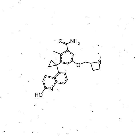 Cc1c(C(N)=O)cc(OCC2CCN2C)cc1C1(c2cccc3nc(O)ccc23)CC1